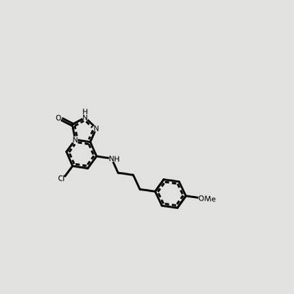 COc1ccc(CCCNc2cc(Cl)cn3c(=O)[nH]nc23)cc1